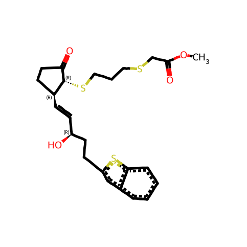 COC(=O)CSCCCS[C@H]1C(=O)CC[C@@H]1C=C[C@H](O)CCc1cc2ccccc2s1